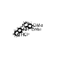 COc1cc2ncnc(Nc3ccc4cccnc4c3)c2cc1OC.Cl